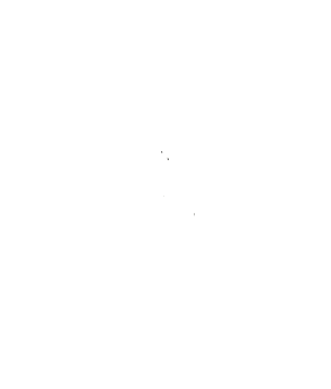 C#CCC(=O)N1CCCC1